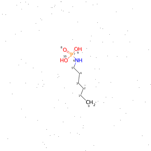 [CH2]CCCCCNP(=O)(O)O